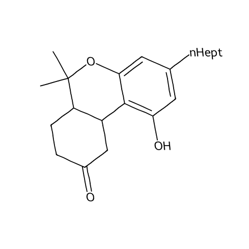 CCCCCCCc1cc(O)c2c(c1)OC(C)(C)C1CCC(=O)CC21